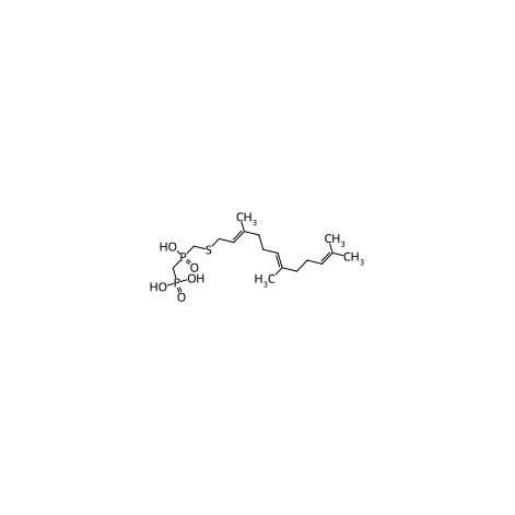 CC(C)=CCCC(C)=CCCC(C)=CCSCP(=O)(O)CP(=O)(O)O